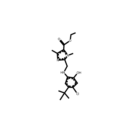 CCOC(=O)c1c(C)nc(CNc2cc(C(C)(C)C)c(Cl)cc2O)n1C